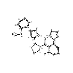 Cc1cccc(-n2nccn2)c1C(=O)N1CCCC1c1nc(-c2ccccc2OC(F)(F)F)no1